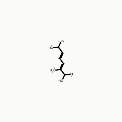 CCC(O)C(C)=CC=CC(O)C(C)C